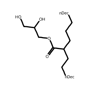 CCCCCCCCCCCCCC(CCCCCCCCCCCC)C(=O)OCC(O)CO